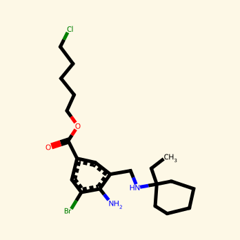 CCC1(NCc2cc(C(=O)OCCCCCCl)cc(Br)c2N)CCCCC1